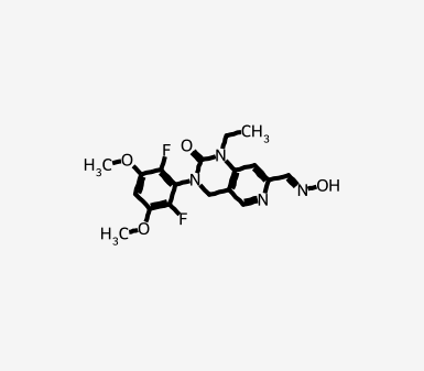 CCN1C(=O)N(c2c(F)c(OC)cc(OC)c2F)Cc2cnc(C=NO)cc21